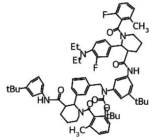 CCN(CC)c1ccc(C2C(C(=O)Nc3cc(N(Cc4cccc(C5C(C(=O)Nc6cccc(C(C)(C)C)c6)CCCN5C(=O)c5c(C)cccc5F)c4)C(=O)OC(C)(C)C)cc(C(C)(C)C)c3)CCCN2C(=O)c2c(C)cccc2F)cc1F